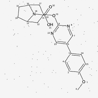 COc1ccc(-c2cnc(OC3CC4CCC(C3)N4C(=O)O)nc2)cc1